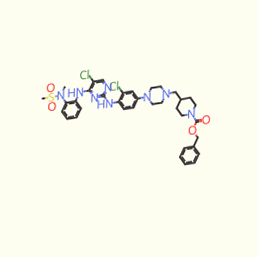 CN(c1ccccc1Nc1nc(Nc2ccc(N3CCN(CC4CCN(C(=O)OCc5ccccc5)CC4)CC3)cc2Cl)ncc1Cl)S(C)(=O)=O